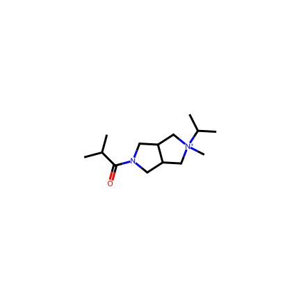 CC(C)C(=O)N1CC2C[N+](C)(C(C)C)CC2C1